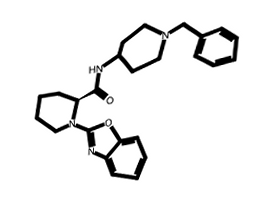 O=C(NC1CCN(Cc2ccccc2)CC1)[C@@H]1CCCCN1c1nc2ccccc2o1